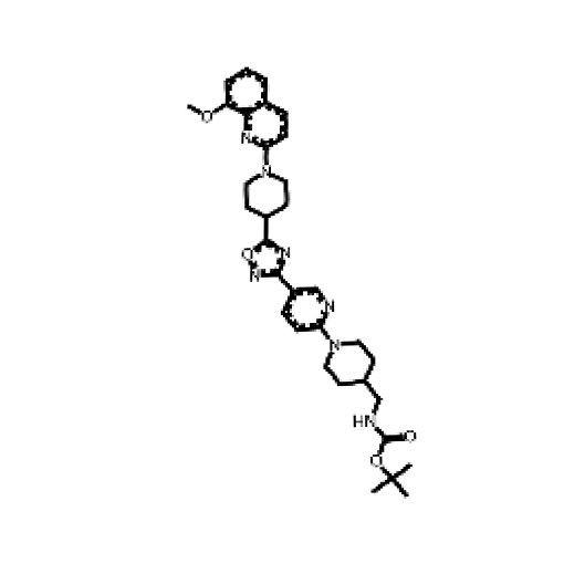 COc1cccc2ccc(N3CCC(c4nc(-c5ccc(N6CCC(CNC(=O)OC(C)(C)C)CC6)nc5)no4)CC3)nc12